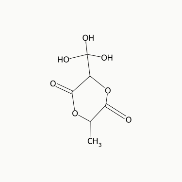 CC1OC(=O)C(C(O)(O)O)OC1=O